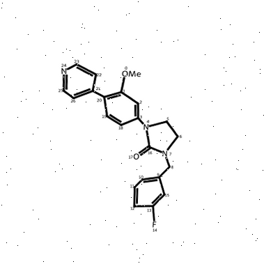 COc1cc(N2CCN(Cc3cccc(F)c3)C2=O)ccc1-c1ccncc1